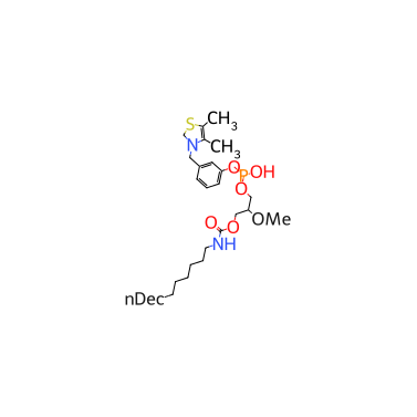 CCCCCCCCCCCCCCCCNC(=O)OCC(COP(O)Oc1cccc(CN2CSC(C)=C2C)c1)OC